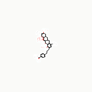 CCC(=O)c1ccc(CCCc2cc(C(C)C)c3c(c2O)C(=O)C2=C(O)[C@]4(O)C(=O)C(C(C)=O)=C(O)CC4CC2C3)cc1